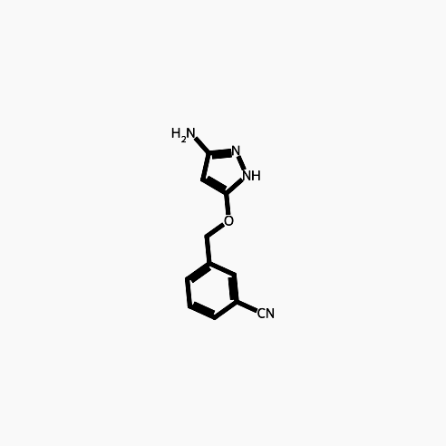 N#Cc1cccc(COc2cc(N)n[nH]2)c1